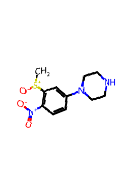 C[S+]([O-])c1cc(N2CCNCC2)ccc1[N+](=O)[O-]